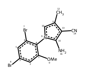 COc1cc(Br)cc(Br)c1-n1cc(C)c(C#N)c1N